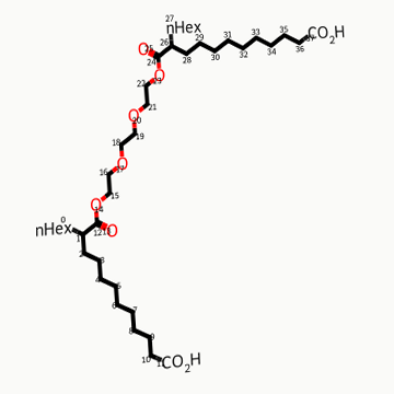 CCCCCCC(CCCCCCCCCC(=O)O)C(=O)OCCOCCOCCOC(=O)C(CCCCCC)CCCCCCCCCC(=O)O